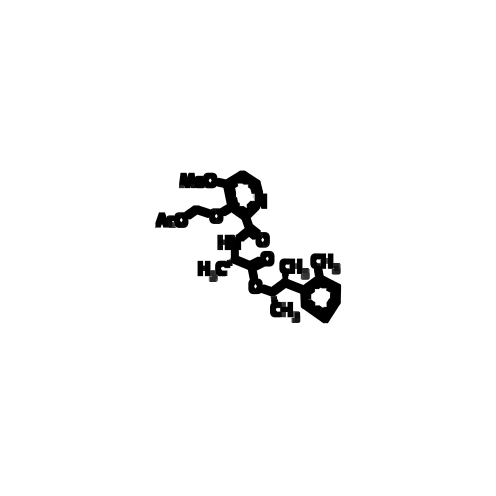 COc1ccnc(C(=O)N[C@@H](C)C(=O)O[C@@H](C)[C@H](C)c2ccccc2C)c1OCOC(C)=O